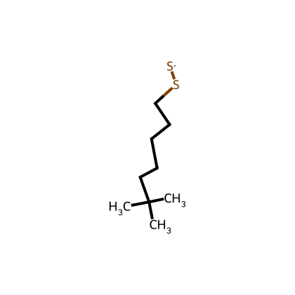 CC(C)(C)CCCCCS[S]